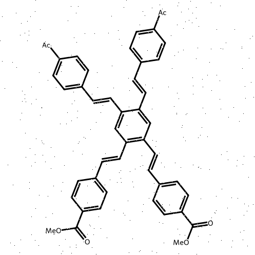 COC(=O)c1ccc(/C=C/c2cc(/C=C/c3ccc(C(C)=O)cc3)c(/C=C/c3ccc(C(C)=O)cc3)cc2/C=C/c2ccc(C(=O)OC)cc2)cc1